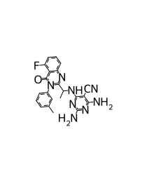 Cc1cccc(-n2c(C(C)Nc3nc(N)nc(N)c3C#N)nc3cccc(F)c3c2=O)c1